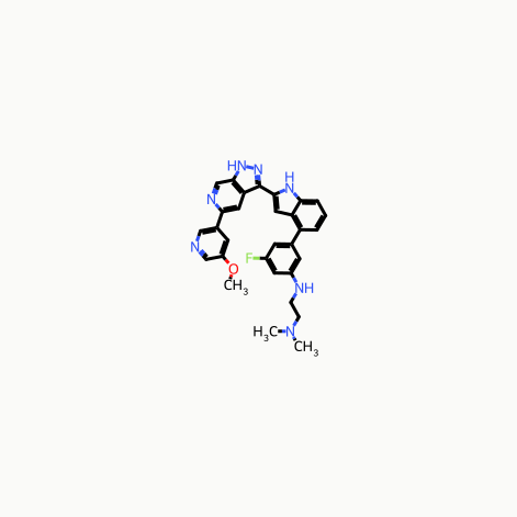 COc1cncc(-c2cc3c(-c4cc5c(-c6cc(F)cc(NCCN(C)C)c6)cccc5[nH]4)n[nH]c3cn2)c1